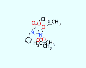 CCCCO[C@@H]1CC(CN(CCC(=O)OCC)Cc2ccccc2)N(C(=O)OC(C)(C)C)C1